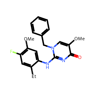 CCc1cc(F)c(OC)cc1Nc1nc(=O)c(OC)cn1Cc1ccccc1